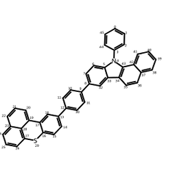 c1ccc(-n2c3ccc(-c4ccc(-c5ccc6c(c5)-c5cccc7cccc(c57)S6)cc4)cc3c3ccc4ccccc4c32)cc1